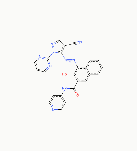 N#Cc1cnn(-c2ncccn2)c1/N=N/c1c(O)c(C(=O)Nc2ccncc2)cc2ccccc12